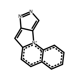 C1=C2N=NC=C2[n+]2c1ccc1ccccc12